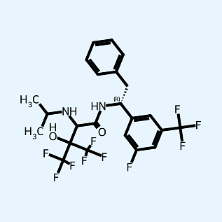 CC(C)NC(C(=O)N[C@H](Cc1ccccc1)c1cc(F)cc(C(F)(F)F)c1)C(O)(C(F)(F)F)C(F)(F)F